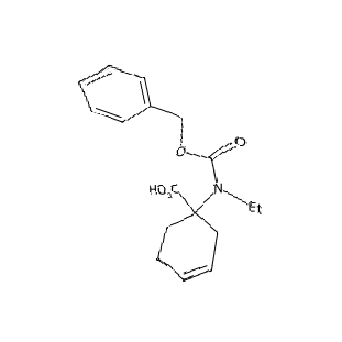 CCN(C(=O)OCc1ccccc1)C1(C(=O)O)CC=CCC1